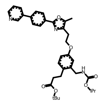 Cc1oc(-c2ccc(-c3cccnc3)cc2)nc1CCOc1ccc(CCC(=O)OC(C)(C)C)c(CNC(=O)OC(C)C)c1